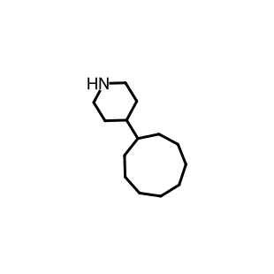 C1CCCCC(C2CCNCC2)CCC1